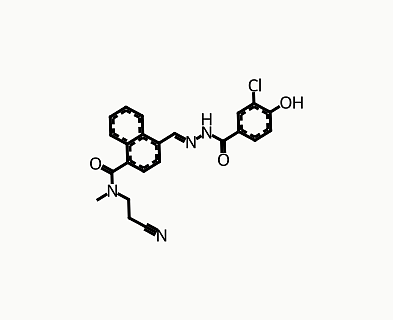 CN(CCC#N)C(=O)c1ccc(/C=N/NC(=O)c2ccc(O)c(Cl)c2)c2ccccc12